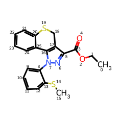 CCOC(=O)c1nn(-c2ccccc2SC)c2c1CSc1ccccc1-2